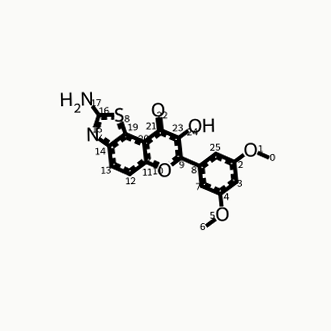 COc1cc(OC)cc(-c2oc3ccc4nc(N)sc4c3c(=O)c2O)c1